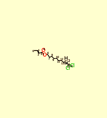 CC=CC(=O)OCCCCCCCC[SiH2]C(Cl)Cl